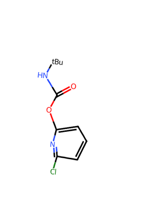 CC(C)(C)NC(=O)Oc1cccc(Cl)n1